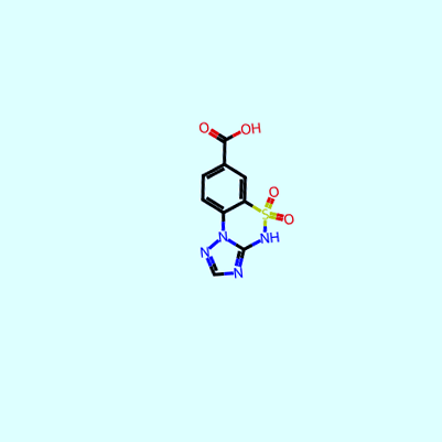 O=C(O)c1ccc2c(c1)S(=O)(=O)Nc1ncnn1-2